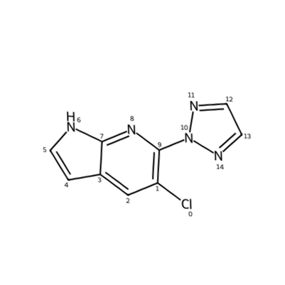 Clc1cc2cc[nH]c2nc1-n1nccn1